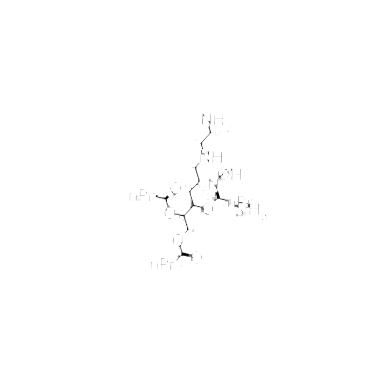 CCCC(=O)OCC(OC(=O)CCC)C(CCCNCCN)OC(CCC)=NO.[SiH4]